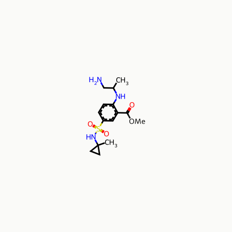 COC(=O)c1cc(S(=O)(=O)NC2(C)CC2)ccc1NC(C)CN